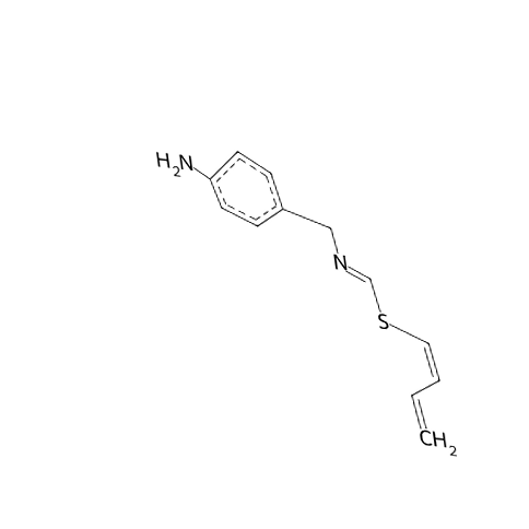 C=C/C=C\S/C=N/Cc1ccc(N)cc1